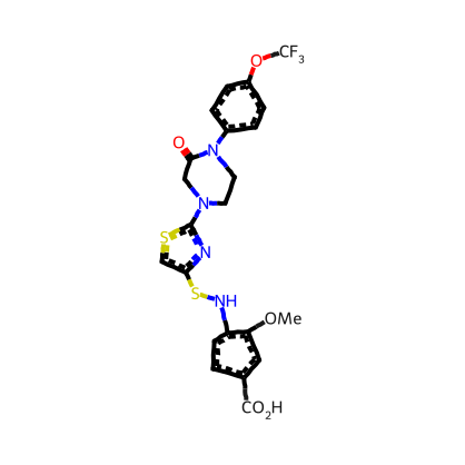 COc1cc(C(=O)O)ccc1NSc1csc(N2CCN(c3ccc(OC(F)(F)F)cc3)C(=O)C2)n1